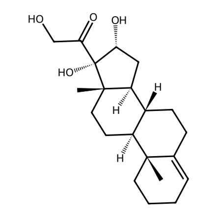 C[C@]12CCCC=C1CC[C@@H]1[C@@H]2CC[C@@]2(C)[C@H]1C[C@@H](O)[C@]2(O)C(=O)CO